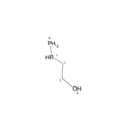 OCCBP